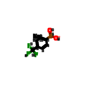 O=S([O-])c1ccc(C(F)(F)F)cc1.[Na+]